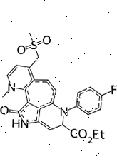 CCOC(=O)C1C=c2[nH]c(=O)c3c4c(ccc(c2-3)N1c1ccc(F)cc1)=C(CS(C)(=O)=O)C=CN4C